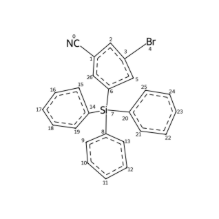 N#Cc1cc(Br)cc([Si](c2ccccc2)(c2ccccc2)c2ccccc2)c1